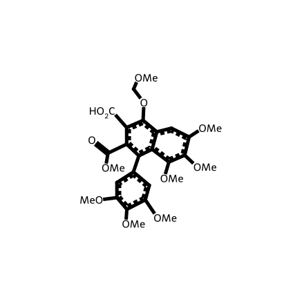 COCOc1c(C(=O)O)c(C(=O)OC)c(-c2cc(OC)c(OC)c(OC)c2)c2c(OC)c(OC)c(OC)cc12